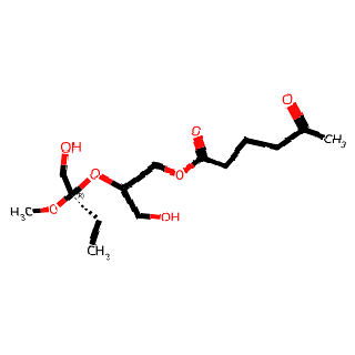 CC[C@@](CO)(OC)OC(CO)COC(=O)CCCC(C)=O